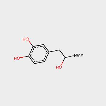 CNC(O)Cc1ccc(O)c(O)c1